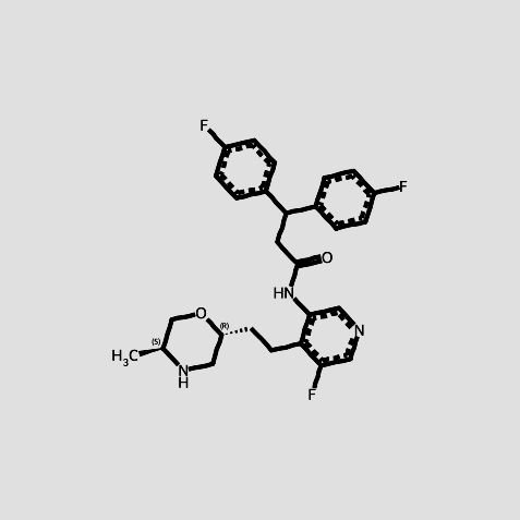 C[C@H]1CO[C@H](CCc2c(F)cncc2NC(=O)CC(c2ccc(F)cc2)c2ccc(F)cc2)CN1